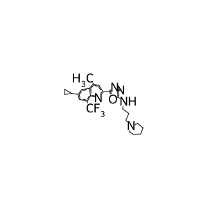 Cc1cc(-c2nnc(NCCCN3CCCCC3)o2)nc2c(C(F)(F)F)cc(C3CC3)cc12